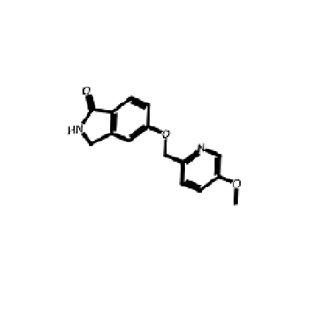 COc1ccc(COc2ccc3c(c2)CNC3=O)nc1